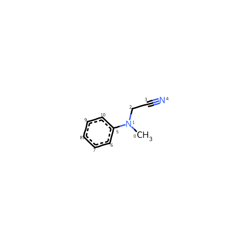 CN(CC#N)c1cc[c]cc1